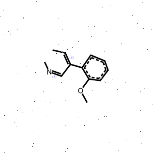 C/C=C(\C=N/C)c1ccccc1OC